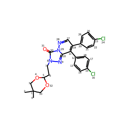 CC1(C)COC(CCn2nc3c(-c4ccc(Cl)cc4)c(-c4ccc(Cl)cc4)cnn3c2=O)OC1